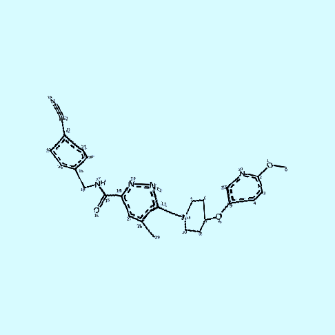 COc1ccc(OC2CCN(c3nnc(C(=O)NCc4ccc(C#N)cc4)cc3C)CC2)cn1